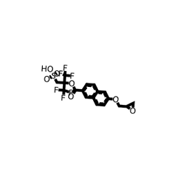 O=C(OC(CS(=O)(=O)O)(C(F)(F)F)C(F)(F)F)c1ccc2cc(OCC3CO3)ccc2c1